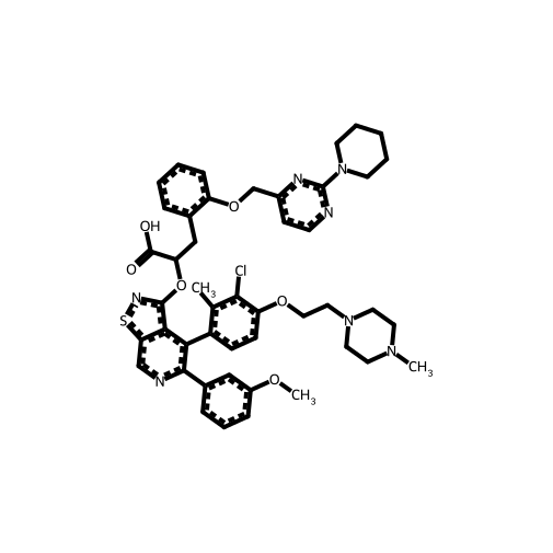 COc1cccc(-c2ncc3snc(OC(Cc4ccccc4OCc4ccnc(N5CCCCC5)n4)C(=O)O)c3c2-c2ccc(OCCN3CCN(C)CC3)c(Cl)c2C)c1